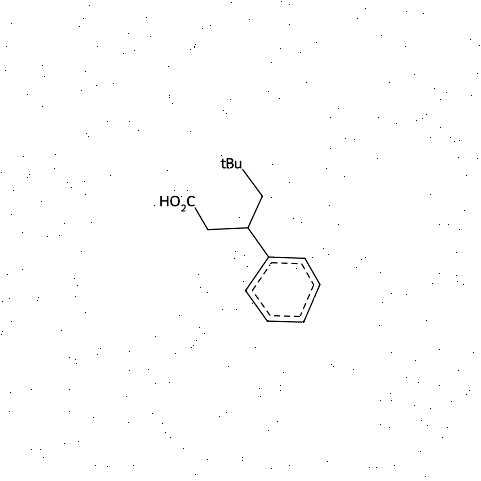 CC(C)(C)CC(CC(=O)O)c1ccccc1